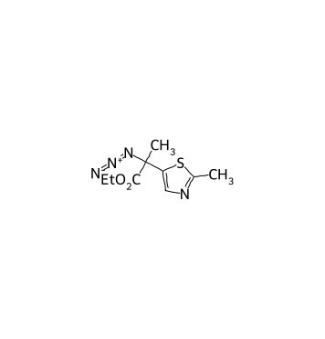 CCOC(=O)C(C)(N=[N+]=[N-])c1cnc(C)s1